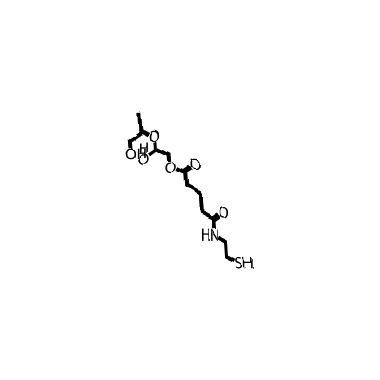 CC(CO)OC(O)COC(=O)CCCC(=O)NCCS